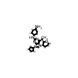 CN(c1nc(NC2CCC(N)CC2)nc2c1ncn2C1CCCC1)C1CCCCO1